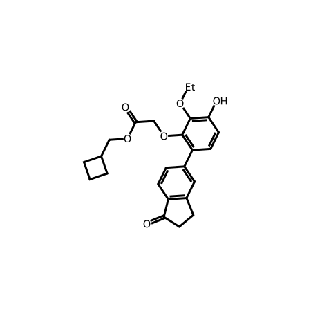 CCOc1c(O)ccc(-c2ccc3c(c2)CCC3=O)c1OCC(=O)OCC1CCC1